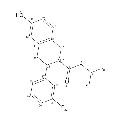 CC(C)CC(=O)N1Cc2ccc(O)cc2CC1c1cccc(F)c1